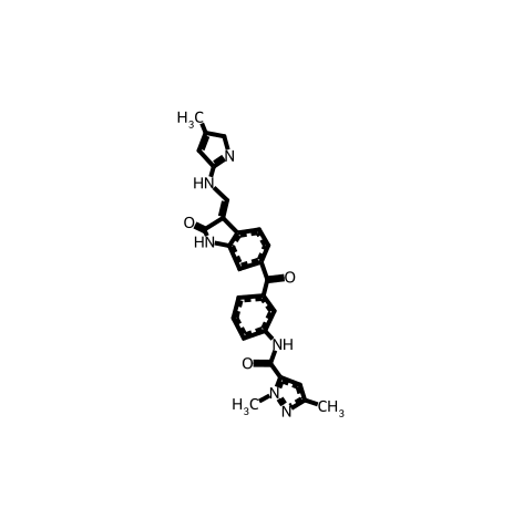 CC1=CC(N/C=C2\C(=O)Nc3cc(C(=O)c4cccc(NC(=O)c5cc(C)nn5C)c4)ccc32)=NC1